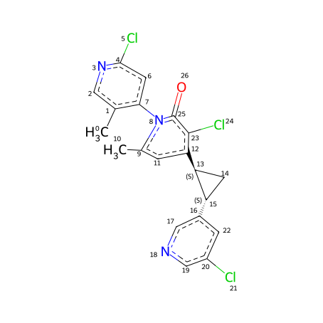 Cc1cnc(Cl)cc1-n1c(C)cc([C@H]2C[C@@H]2c2cncc(Cl)c2)c(Cl)c1=O